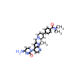 CN(C)C(=O)c1ccc(C2CCN(Cc3cc4c(-n5ccc(N)nc5=O)ccnc4n3C)CC2)cc1